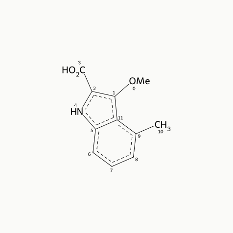 COc1c(C(=O)O)[nH]c2cccc(C)c12